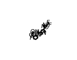 O=C(O)N[C@H]1[C@H](N2Cc3ncc(-c4nnc(C(F)F)o4)cc3C2=O)CCCC1(F)F